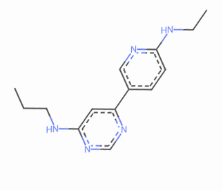 CCCNc1cc(-c2ccc(NCC)nc2)ncn1